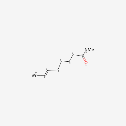 [CH2]NC(=O)CCCCC=CC(C)C